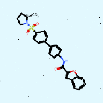 O=C(Nc1ccc(-c2ccc(S(=O)(=O)N3CCC[C@H]3C(=O)O)cc2)cc1)c1cc2ccccc2o1